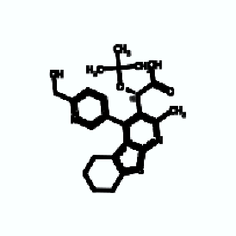 Cc1nc2sc3c(c2c(-c2ccc(CO)nc2)c1[C@H](OC(C)(C)C)C(=O)O)CCCC3